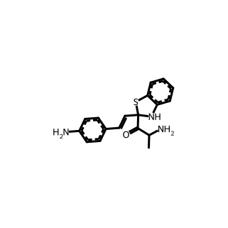 CC(N)C(=O)C1(/C=C/c2ccc(N)cc2)Nc2ccccc2S1